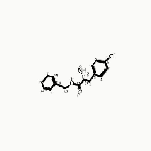 N[C@H](Cc1ccc(Cl)cc1)C(=O)OCc1ccccc1